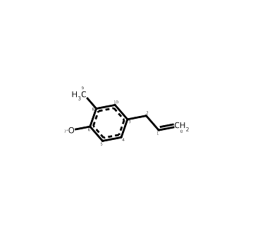 C=CCc1ccc([O])c(C)c1